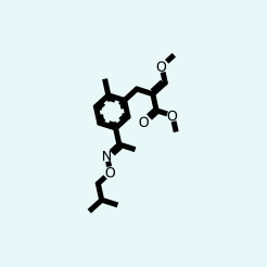 CO/C=C(\Cc1cc(/C(C)=N/OCC(C)C)ccc1C)C(=O)OC